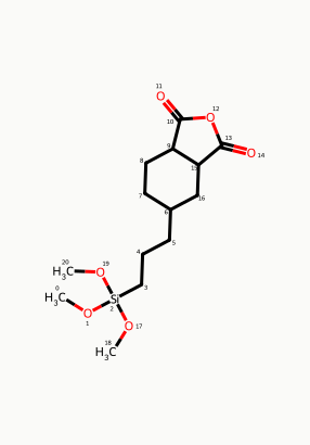 CO[Si](CCCC1CCC2C(=O)OC(=O)C2C1)(OC)OC